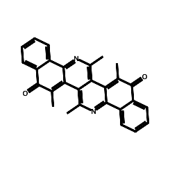 CC1=c2c(nc(C)c3c4c(nc(C)c23)-c2ccccc2C(=O)C=4C)-c2ccccc2C1=O